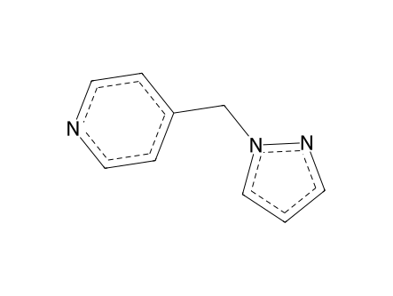 c1cnn(Cc2ccncc2)c1